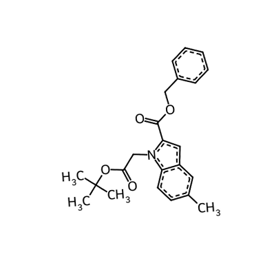 Cc1ccc2c(c1)cc(C(=O)OCc1ccccc1)n2CC(=O)OC(C)(C)C